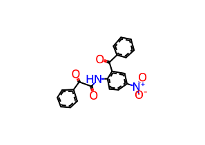 O=C(Nc1ccc([N+](=O)[O-])cc1C(=O)c1ccccc1)C(=O)c1ccccc1